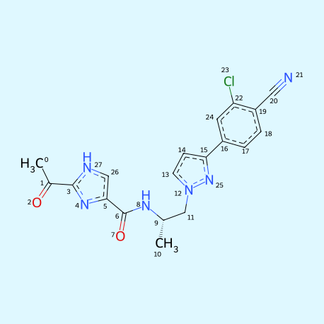 CC(=O)c1nc(C(=O)N[C@@H](C)Cn2ccc(-c3ccc(C#N)c(Cl)c3)n2)c[nH]1